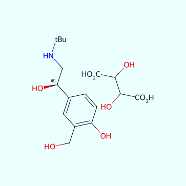 CC(C)(C)NC[C@H](O)c1ccc(O)c(CO)c1.O=C(O)C(O)C(O)C(=O)O